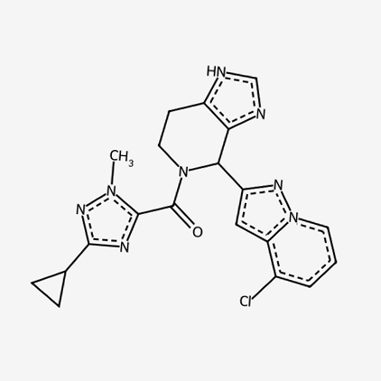 Cn1nc(C2CC2)nc1C(=O)N1CCc2[nH]cnc2C1c1cc2c(Cl)cccn2n1